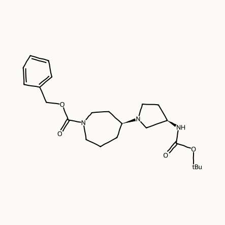 CC(C)(C)OC(=O)N[C@@H]1CCN([C@H]2CCCN(C(=O)OCc3ccccc3)CC2)C1